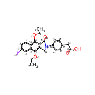 CCOc1c2c(c(OCC)c3ccc(I)cc13)C(=O)N(c1ccc(CC(=O)O)cc1)C2